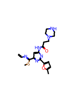 C=C/N=C(\SC)c1cc(NC(=O)CCN2CCNCC2)nc(-c2ccc(C)o2)n1